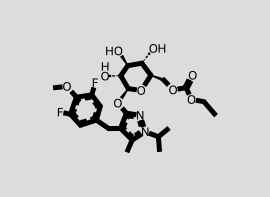 CCOC(=O)OC[C@H]1O[C@@H](Oc2nn(C(C)C)c(C)c2Cc2cc(F)c(OC)c(F)c2)[C@H](O)[C@@H](O)[C@@H]1O